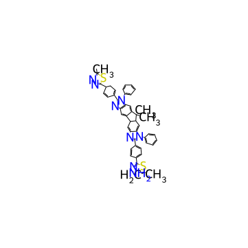 C=C(C)S/C(=N\N)c1ccc(-c2nc3c(n2-c2ccccc2)=CC2C(C=3)c3cc4nc(C5=CCC(c6nnc(C)s6)C=C5)n(-c5ccccc5)c4cc3C2(C)C)cc1